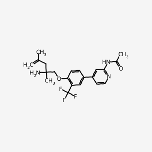 C=C(C)CC(C)(N)COc1ccc(-c2ccnc(NC(C)=O)c2)cc1C(F)(F)F